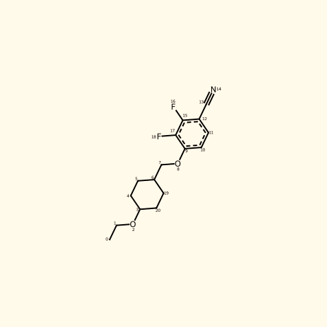 CCOC1CCC(COc2ccc(C#N)c(F)c2F)CC1